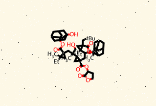 CCC(CC1(C(=O)OC2CCOC2=O)CC1(CC)C(C)(CO)CC1(C(=O)OC23CC4CC(CC(O)(C4)C2)C3)CC1(C)CC)C1(CC)CC1(CC(C)(C)C)C(=O)OC1(C)C2CC3CC(C2)CC1C3